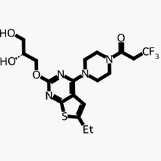 CCc1cc2c(N3CCN(C(=O)CC(F)(F)F)CC3)nc(OC[C@H](O)CO)nc2s1